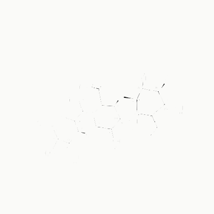 CCC1O[C@@H](O[C@@H]2C(CC)O[C@@H](O[C@@H]3C(CC)O[C@@H](C)C(C)[C@H]3C)C(C)[C@H]2C)C(C)[C@@H](O)[C@@H]1C